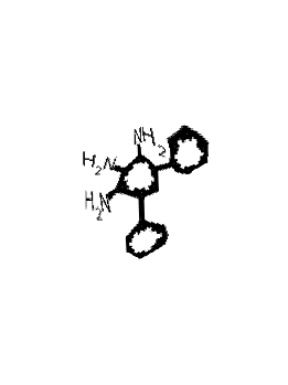 Nc1c(-c2ccccc2)cc(-c2ccccc2)c(N)c1N